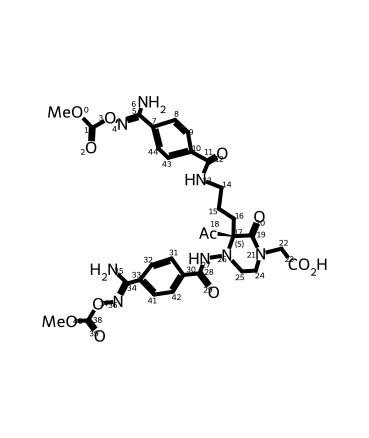 COC(=O)ON=C(N)c1ccc(C(=O)NCCC[C@]2(C(C)=O)C(=O)N(CC(=O)O)CCN2NC(=O)c2ccc(C(N)=NOC(=O)OC)cc2)cc1